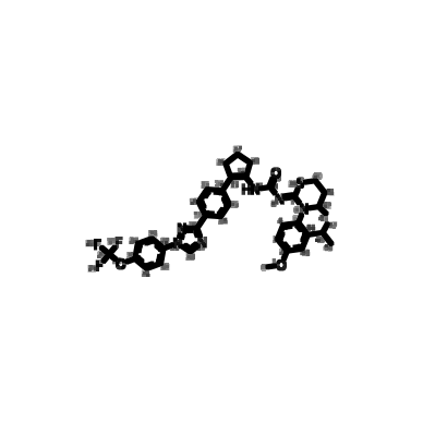 COc1ccc(N2/C(=N/C(=O)NC3=C(c4ccc(-c5ncn(-c6ccc(OC(F)(F)F)cc6)n5)cc4)CCC3)SCCC2C)c(C(C)C)c1